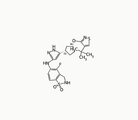 CC(C)(C)c1csnc1O[C@@H]1CC[C@H](c2cc(Nc3ccc4c(c3F)CNS4(=O)=O)n[nH]2)C1